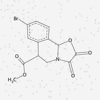 COC(=O)C1CN2C(=O)C(=O)OC2c2ccc(Br)cc21